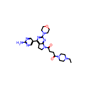 CCN1CCN(C(=O)CCC(=O)N2CCc3c(-c4cnc(N)nc4)nc(N4CCOCC4)nc32)CC1